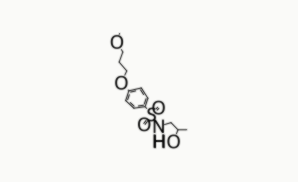 COCCCOc1ccc(S(=O)(=O)NCC(C)O)cc1